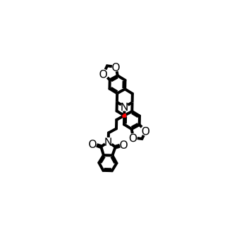 O=C1c2ccccc2C(=O)N1CCCCN1C2Cc3cc4c(cc3C1Cc1cc3c(cc12)OCO3)OCO4